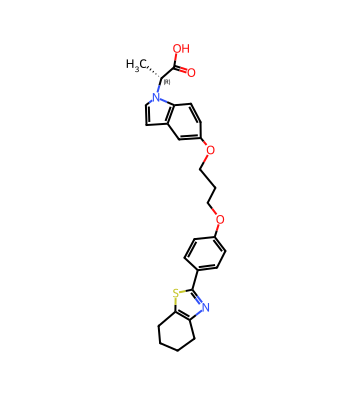 C[C@H](C(=O)O)n1ccc2cc(OCCCOc3ccc(-c4nc5c(s4)CCCC5)cc3)ccc21